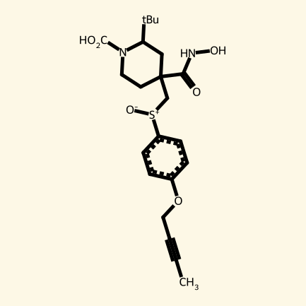 CC#CCOc1ccc([S+]([O-])CC2(C(=O)NO)CCN(C(=O)O)C(C(C)(C)C)C2)cc1